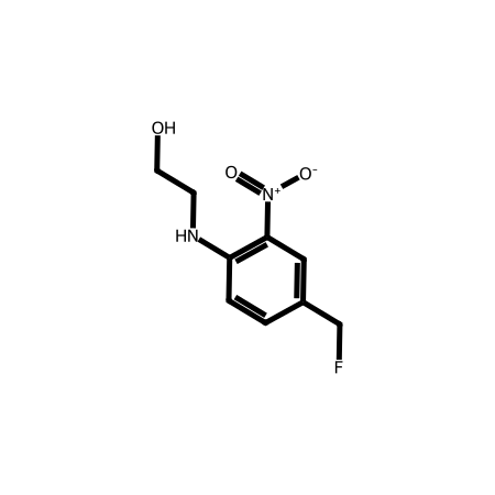 O=[N+]([O-])c1cc(CF)ccc1NCCO